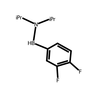 CC(C)N(Bc1ccc(F)c(F)c1)C(C)C